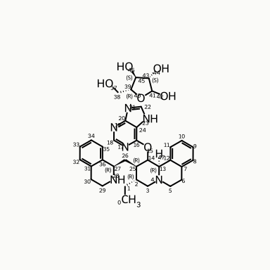 CC[C@H]1CN2CCc3ccccc3[C@@H]2C(Oc2ncnc3nc[nH]c23)[C@@H]1C[C@H]1NCCc2ccccc21.OC[C@H]1OC(O)[C@@H](O)[C@@H]1O